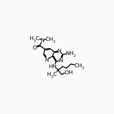 CCCCC(C)(CO)Nc1nc(N)nc2cc(C(=O)N(C)C)cnc12